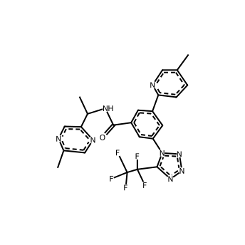 Cc1ccc(-c2cc(C(=O)NC(C)c3cnc(C)cn3)cc(-n3nnnc3C(F)(F)C(F)(F)F)c2)nc1